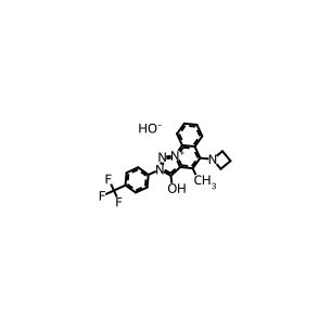 Cc1c(N2CCC2)c2ccccc2[n+]2nn(-c3ccc(C(F)(F)F)cc3)c(O)c12.[OH-]